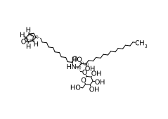 CCCCCCCCCCCCCC[C@@H](O)[C@@H](O)[C@H](COC1OC(CO)C(O)C(O)C1O)NC(=O)CCCCCCCCCC[C@H]1C[C@@H]2C[C@H]1[C@@H]1O[C@H]21